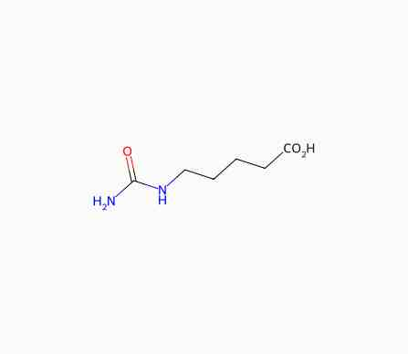 NC(=O)NCCCCC(=O)O